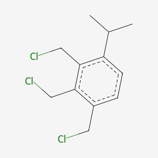 CC(C)c1ccc(CCl)c(CCl)c1CCl